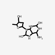 CC1OC(N2C(O)NC3C(N)NC(O)NC32)CC1O